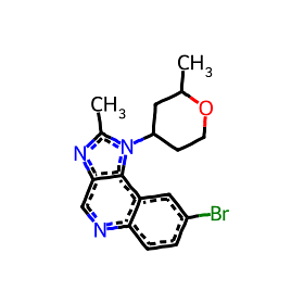 Cc1nc2cnc3ccc(Br)cc3c2n1C1CCOC(C)C1